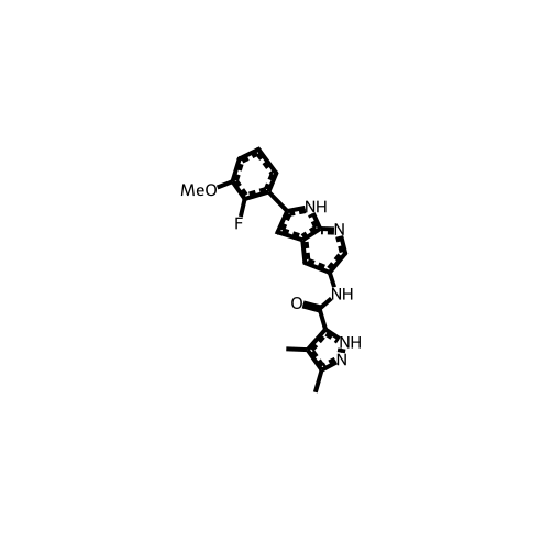 COc1cccc(-c2cc3cc(NC(=O)c4[nH]nc(C)c4C)cnc3[nH]2)c1F